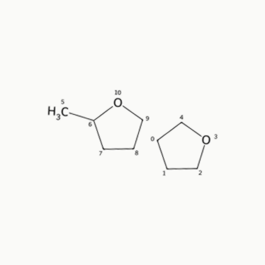 C1CCOC1.CC1CCCO1